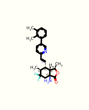 Cc1cccc(-c2ccc(/C=C/[C@@H]3[C@@H]4[C@@H](C)OC(=O)[C@]4(N)CC(F)(F)[C@H]3C)nc2)c1C